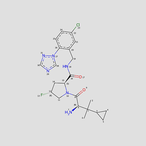 CC(C)(C1CC1)[C@@H](N)C(=O)N1C[C@H](F)C[C@H]1C(=O)NCc1cc(Cl)ccc1-n1cncn1